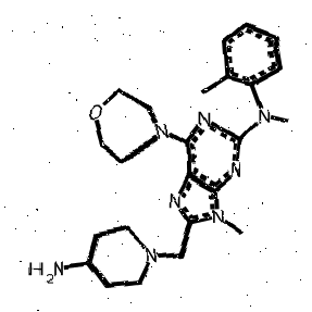 Cc1ccccc1N(C)c1nc(N2CCOCC2)c2nc(CN3CCC(N)CC3)n(C)c2n1